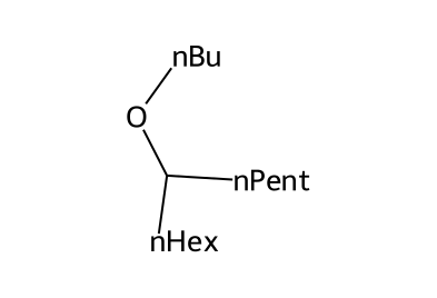 CCCCCCC(CCCCC)OCCCC